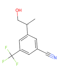 C[C](CO)c1cc(C#N)cc(C(F)(F)F)c1